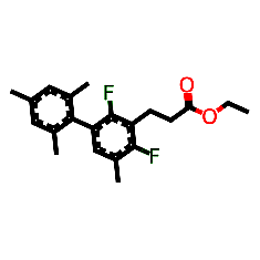 CCOC(=O)CCc1c(F)c(C)cc(-c2c(C)cc(C)cc2C)c1F